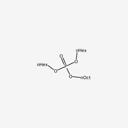 CCCCCCCCOP(=O)(OCCCCCC)OCCCCCC